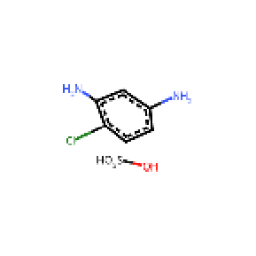 Nc1ccc(Cl)c(N)c1.O=S(=O)(O)O